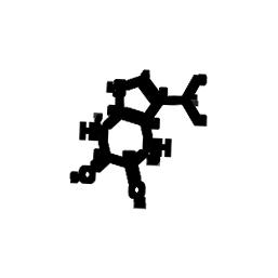 CC(C)c1csc2[nH]c(=O)c(=O)[nH]c12